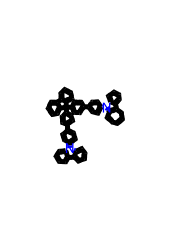 C1=CCc2c(n(-c3ccc(-c4ccc(C5(c6ccc(-c7ccc(-n8c9ccccc9c9ccccc98)cc7)cc6)c6ccccc6-c6ccccc65)cc4)cc3)c3ccccc23)C=C1